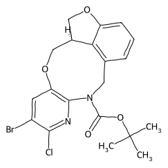 CC(C)(C)OC(=O)N1Cc2cccc3c2[C@@H](COc2cc(Br)c(Cl)nc21)CO3